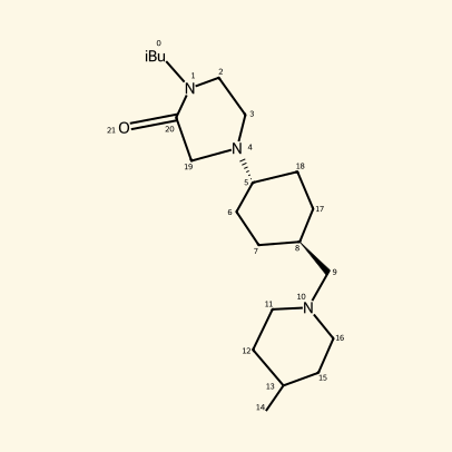 CCC(C)N1CCN([C@H]2CC[C@H](CN3CCC(C)CC3)CC2)CC1=O